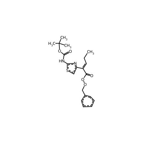 CC/C=C(/C(=O)OOCc1ccccc1)c1csc(NC(=O)OC(C)(C)C)n1